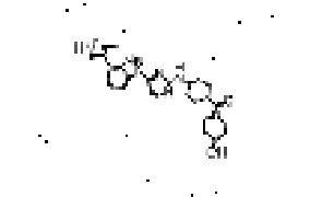 Cc1n[nH]cc1-c1cccc2c1nnn2-c1ccnc(NC2CCC(C(=O)N3CCC(O)CC3)CC2)n1